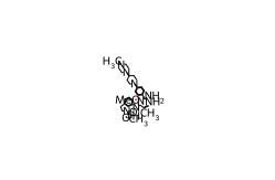 COc1cc(N2CCC(N3CCN(C)CC3)CC2)ccc1C1(N)N=C(Nc2cccc3c2N(S(C)(=O)=O)CC3)C(C)=CN1